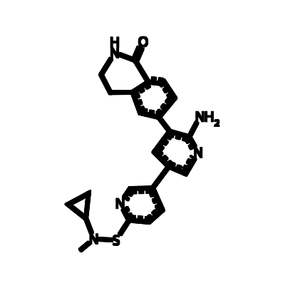 CN(Sc1ccc(-c2cnc(N)c(-c3ccc4c(c3)CCNC4=O)c2)cn1)C1CC1